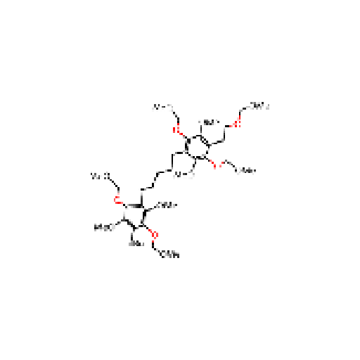 CCCCc1c(OC)c(OCOC)c(CCCCCc2c(OC)c(OCOC)c(CCOCOC)c(OC)c2OCOC)c(OC)c1OCOC